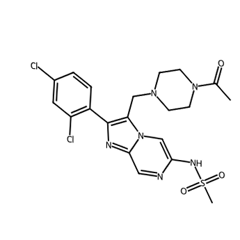 CC(=O)N1CCN(Cc2c(-c3ccc(Cl)cc3Cl)nc3cnc(NS(C)(=O)=O)cn23)CC1